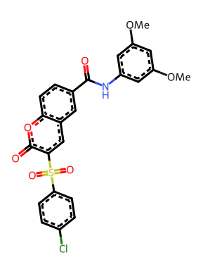 COc1cc(NC(=O)c2ccc3oc(=O)c(S(=O)(=O)c4ccc(Cl)cc4)cc3c2)cc(OC)c1